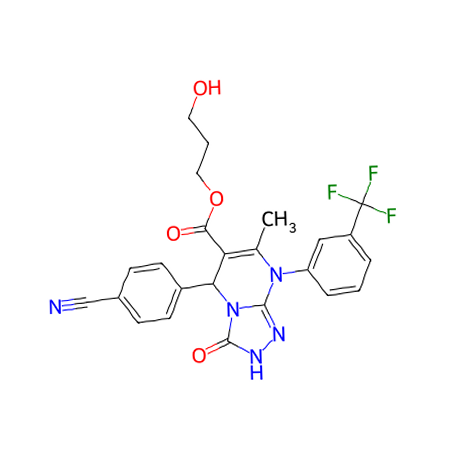 CC1=C(C(=O)OCCCO)C(c2ccc(C#N)cc2)n2c(n[nH]c2=O)N1c1cccc(C(F)(F)F)c1